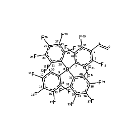 C=Cc1c(F)c(F)c([B-](c2c(F)c(F)c(F)c(F)c2F)(c2c(F)c(F)c(F)c(F)c2F)c2c(F)c(F)c(F)c(F)c2F)c(F)c1F